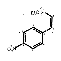 CCOC(=O)/C=C\c1ccc([N+](=O)[O-])cc1